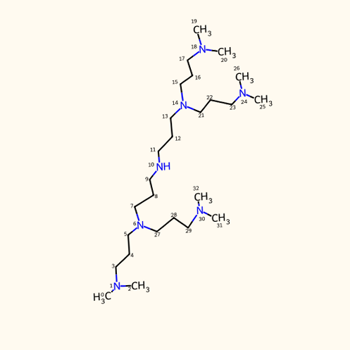 CN(C)CCCN(CCCNCCCN(CCCN(C)C)CCCN(C)C)CCCN(C)C